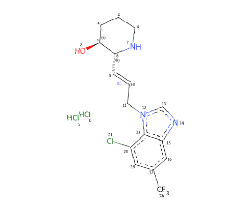 Cl.Cl.O[C@H]1CCCN[C@@H]1/C=C/Cn1cnc2cc(C(F)(F)F)cc(Cl)c21